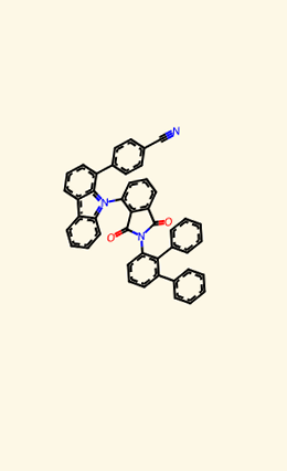 N#Cc1ccc(-c2cccc3c4ccccc4n(-c4cccc5c4C(=O)N(c4cccc(-c6ccccc6)c4-c4ccccc4)C5=O)c23)cc1